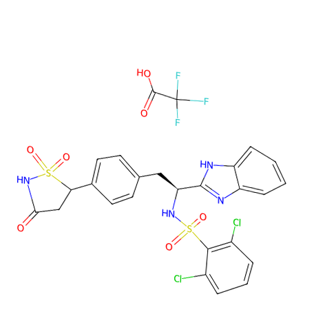 O=C(O)C(F)(F)F.O=C1CC(c2ccc(C[C@H](NS(=O)(=O)c3c(Cl)cccc3Cl)c3nc4ccccc4[nH]3)cc2)S(=O)(=O)N1